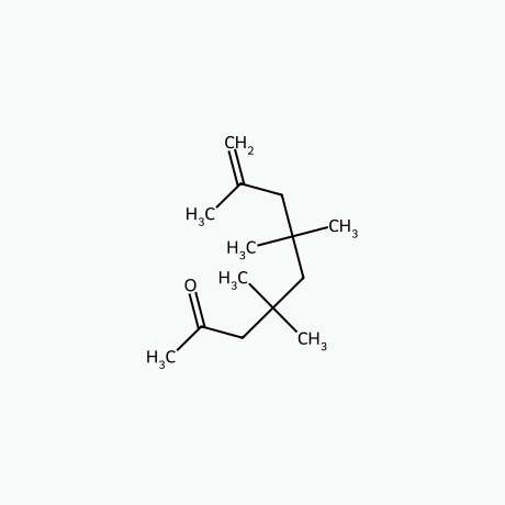 C=C(C)CC(C)(C)CC(C)(C)CC(C)=O